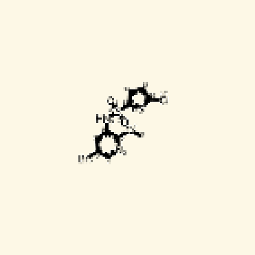 COc1ncc(Br)cc1NS(=O)(=O)c1ccc(Cl)s1